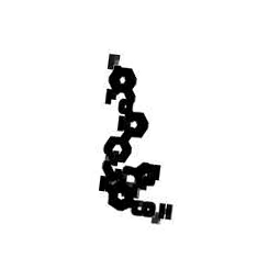 CCn1cncc1Cn1c(CN2CCC(c3cccc(OCc4ccc(F)cc4F)n3)CC2)nc2ccc(C(=O)O)cc21